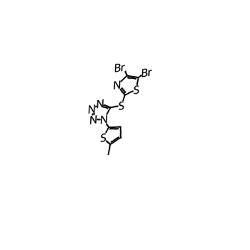 Cc1ccc(-n2nnnc2Sc2nc(Br)c(Br)s2)s1